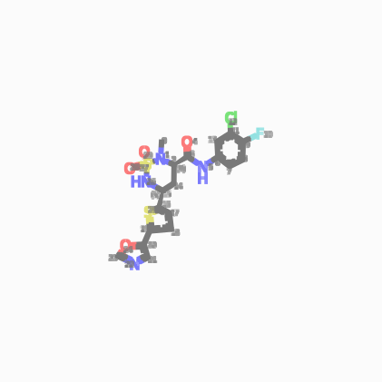 CN1[C@@H](C(=O)Nc2ccc(F)c(Cl)c2)C[C@@H](c2ccc(-c3cnco3)s2)NS1(=O)=O